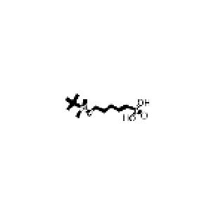 CC(C)(C)[Si](C)(C)OCCCC=CP(=O)(O)O